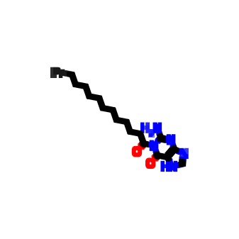 CC(C)CCCCCCCCCCCC(=O)n1c(N)nc2nc[nH]c2c1=O